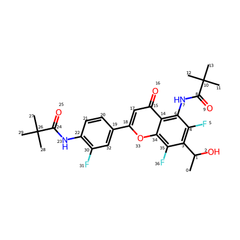 CC(O)c1c(F)c(NC(=O)C(C)(C)C)c2c(=O)cc(-c3ccc(NC(=O)C(C)(C)C)c(F)c3)oc2c1F